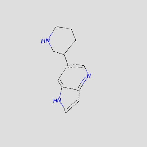 c1cc2ncc(C3CCCNC3)cc2[nH]1